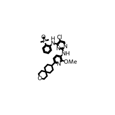 COc1nc(C2CCC3(CCOCC3)CC2)ccc1Nc1ncc(Cl)c(Nc2ccccc2P(C)(C)=O)n1